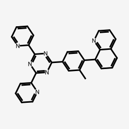 Cc1cc(-c2nc(-c3ccccn3)nc(-c3ccccn3)n2)ccc1-c1cccc2cccnc12